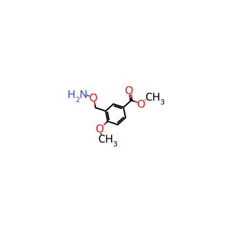 COC(=O)c1ccc(OC)c(CON)c1